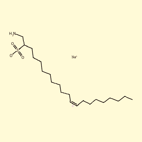 CCCCCCCC/C=C\CCCCCCCCCC(CN)S(=O)(=O)[O-].[Na+]